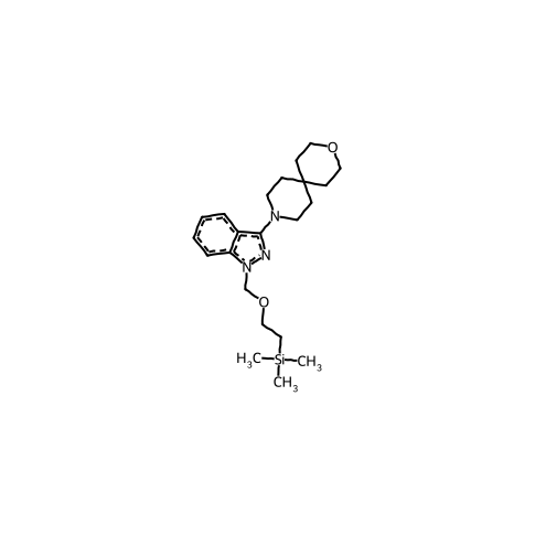 C[Si](C)(C)CCOCn1nc(N2CCC3(CCOCC3)CC2)c2ccccc21